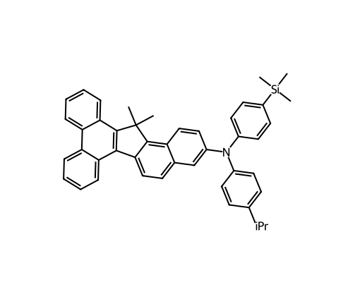 CC(C)c1ccc(N(c2ccc([Si](C)(C)C)cc2)c2ccc3c4c(ccc3c2)-c2c(c3ccccc3c3ccccc23)C4(C)C)cc1